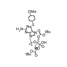 COc1ccc(Sc2nc(N)nc3c2ncn3CC2(OC(COC(=O)OC(C)(C)C)(COC(=O)OC(C)(C)C)P(=O)(O)O)CC2)cc1